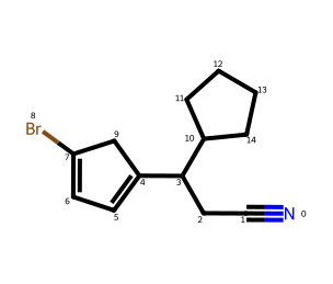 N#CCC(C1=CC=C(Br)C1)C1CCCC1